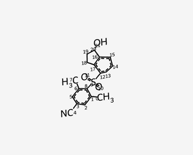 Cc1cc(C#N)cc(C)c1S(=O)(=O)c1cccc2c1CC[C@@H]2O